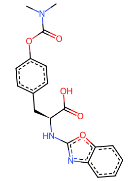 CN(C)C(=O)Oc1ccc(C[C@H](Nc2nc3ccccc3o2)C(=O)O)cc1